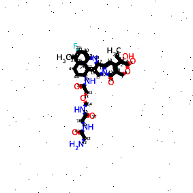 CC[C@@]1(O)C(=O)OCc2c1cc1n(c2=O)Cc2c-1nc1cc(F)c(C)c3c1c2[C@@H](NC(=O)COCNC(=O)CNC(=O)CN)CC3